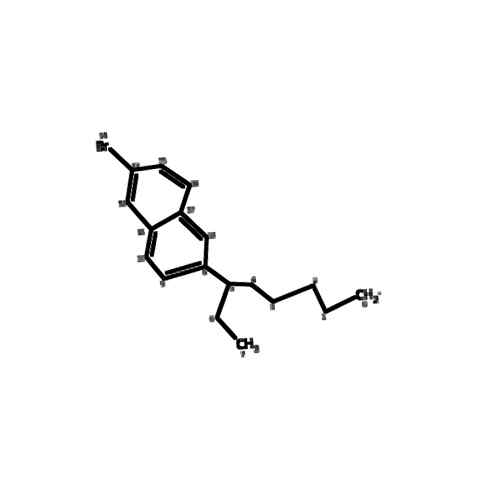 [CH2]CCCCC(CC)c1ccc2cc(Br)ccc2c1